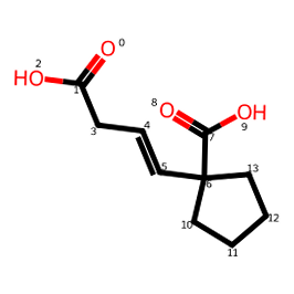 O=C(O)CC=CC1(C(=O)O)CCCC1